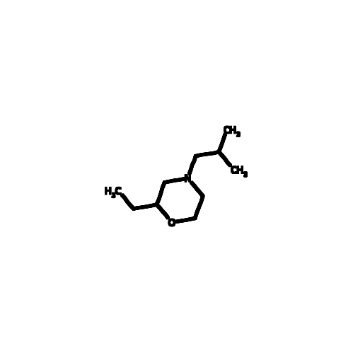 CCC1CN(CC(C)C)CCO1